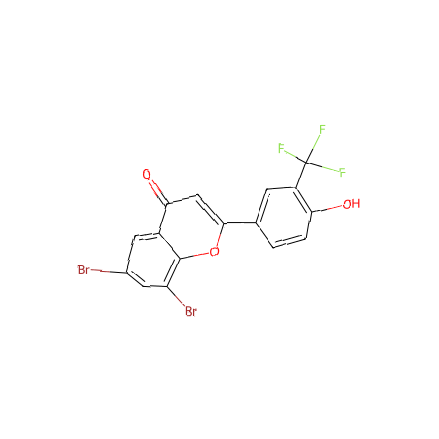 O=c1cc(-c2ccc(O)c(C(F)(F)F)c2)oc2c(Br)cc(Br)cc12